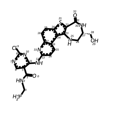 O=C(NCP)c1cnc(Cl)nc1Nc1ccc2c(ccc3sc4c(c32)NC[C@@H](CO)NC4=O)n1